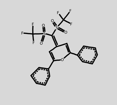 O=S(=O)(C(=C1C=C(c2ccccc2)OC(c2ccccc2)=C1)S(=O)(=O)C(F)(F)F)C(F)(F)F